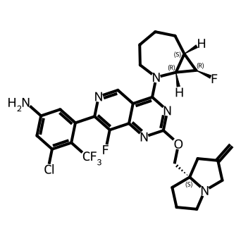 C=C1CN2CCC[C@@]2(COc2nc(N3CCCC[C@@H]4[C@@H](F)[C@@H]43)c3cnc(-c4cc(N)cc(Cl)c4C(F)(F)F)c(F)c3n2)C1